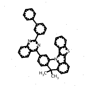 CC1(C)c2ccc(-c3nc(-c4cccc(-c5ccccc5)c4)nc4ccccc34)cc2-n2c3c1cccc3c1sc3ccccc3c12